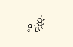 O=c1cc(CN(c2cccc(Cl)c2)c2cccnn2)c2ccc(F)c(F)c2[nH]1